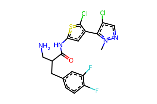 Cn1ncc(Cl)c1-c1cc(NC(=O)C(CN)Cc2ccc(F)c(F)c2)sc1Cl